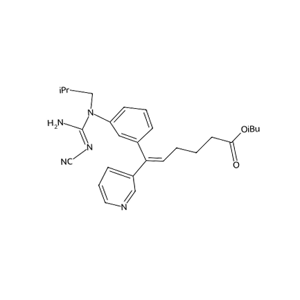 CC(C)COC(=O)CCC/C=C(/c1cccnc1)c1cccc(N(CC(C)C)C(N)=NC#N)c1